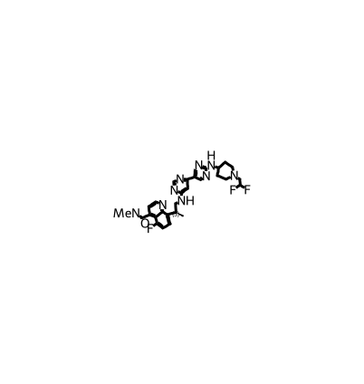 CNC(=O)c1ccnc2c([C@H](C)CNc3cc(-c4cnc(NC5CCN(CC(F)F)CC5)nc4)ncn3)ccc(F)c12